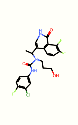 CC(c1c[nH]c(=O)c2c(F)c(F)ccc12)N(CCCO)C(=O)Nc1ccc(F)c(Cl)c1